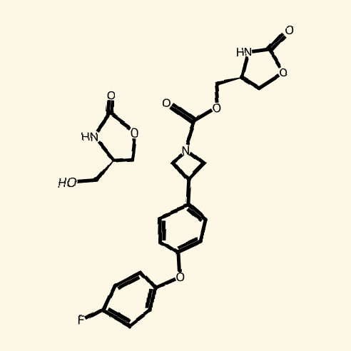 O=C1N[C@H](CO)CO1.O=C1N[C@H](COC(=O)N2CC(c3ccc(Oc4ccc(F)cc4)cc3)C2)CO1